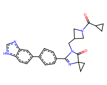 O=C(C1CC1)N1CC(CN2C(=O)C3(CC3)N=C2c2ccc(-c3ccc4[nH]cnc4c3)cc2)C1